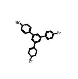 Brc1ccc(-c2cc(C3=CCC(Br)C=C3)cc(C3=CCC(Br)CC3)c2)cc1